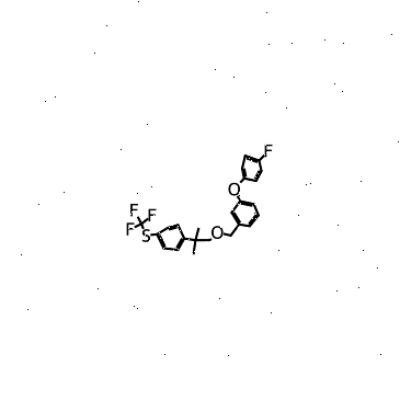 CC(C)(COCc1cccc(Oc2ccc(F)cc2)c1)c1ccc(SC(F)(F)F)cc1